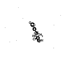 Cn1nc(-c2ccc(N3C=CC(=O)C=CO3)cc2)nc1Nc1ccc2[nH]ncc2c1Cl